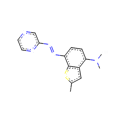 CCOC(=O)c1cc2c(N(C)C)ccc(/N=N/c3cnccn3)c2s1